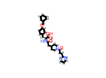 O=C(CC1CCN(C(=O)CCc2ncccn2)CC1)N[C@@H](Cc1ccc(OCc2ccccc2)cc1)C(=O)O